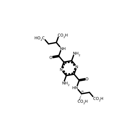 Nc1nc(C(=O)N[C@H](CC(=O)O)C(=O)O)c(N)nc1C(=O)NC(CC(=O)O)C(=O)O